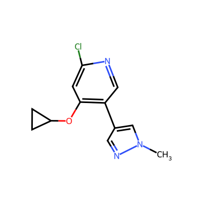 Cn1cc(-c2cnc(Cl)cc2OC2CC2)cn1